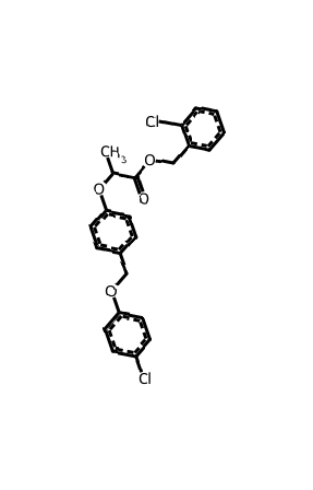 CC(Oc1ccc(COc2ccc(Cl)cc2)cc1)C(=O)OCc1ccccc1Cl